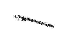 COCCOCCOCCOCCOCCOCCOCCOCCOCCOCCOCC(=O)NC(CCCCN)C(=O)O